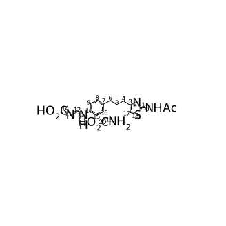 CC(=O)Nc1nc(CCCc2ccc(NC=NC(=O)O)cc2)cs1.NC(=O)O